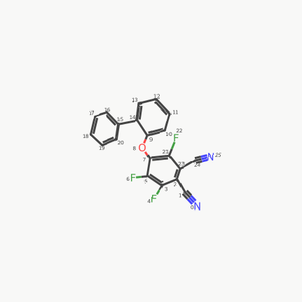 N#Cc1c(F)c(F)c(Oc2ccccc2-c2ccccc2)c(F)c1C#N